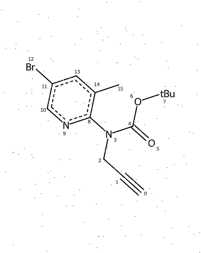 C#CCN(C(=O)OC(C)(C)C)c1ncc(Br)cc1C